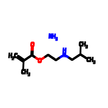 C=C(C)C(=O)OCCNCC(C)C.N